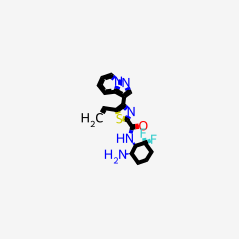 C=Cc1sc(C(=O)N[C@@H]2[C@@H](N)CCCC2(F)F)nc1-c1cnn2ccccc12